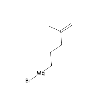 C=C(C)CC[CH2][Mg][Br]